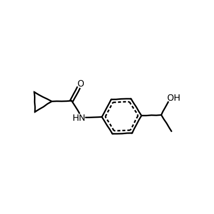 CC(O)c1ccc(NC(=O)C2CC2)cc1